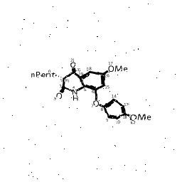 CCCCC[C@H]1C(=O)Nc2c(Oc3ccc(OC)cc3)cc(OC)cc2C1=O